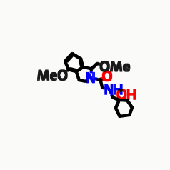 COCC1c2cccc(OC)c2CCN1C(=O)CNCC1(O)CCCCC1